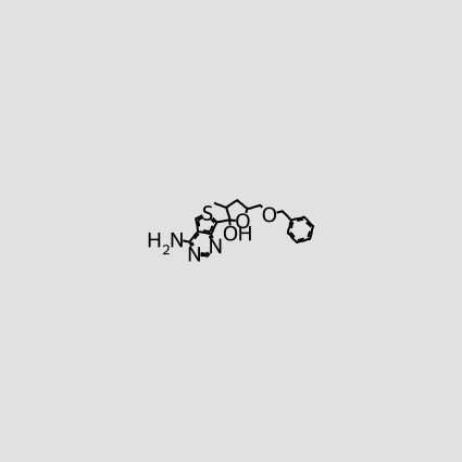 CC1CC(COCc2ccccc2)OC1(O)c1scc2c(N)ncnc12